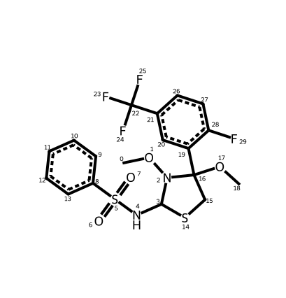 CON1C(NS(=O)(=O)c2ccccc2)SCC1(OC)c1cc(C(F)(F)F)ccc1F